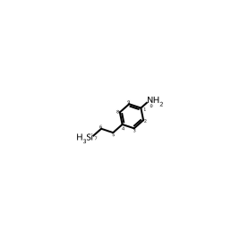 Nc1ccc(CC[SiH3])cc1